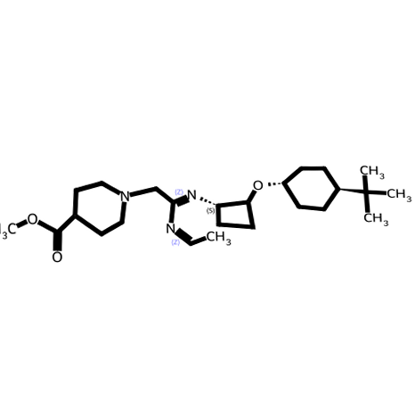 C/C=N\C(CN1CCC(C(=O)OC)CC1)=N/[C@H]1CCC1O[C@H]1CC[C@H](C(C)(C)C)CC1